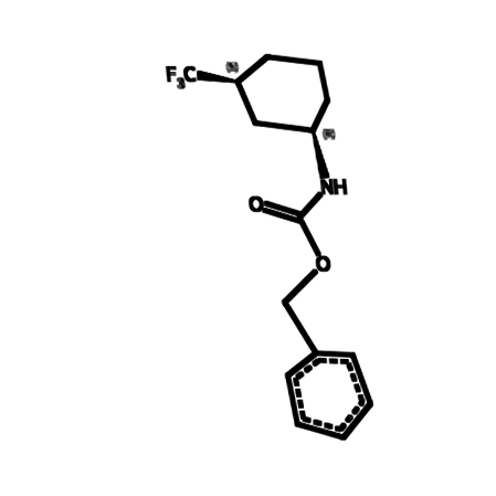 O=C(N[C@@H]1CCC[C@H](C(F)(F)F)C1)OCc1ccccc1